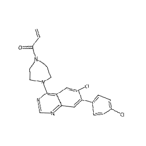 C=CC(=O)N1CCN(c2ncnc3cc(-c4ccc(Cl)cc4)c(Cl)cc23)CC1